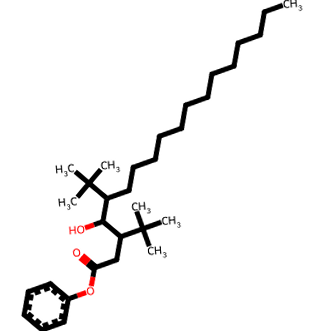 CCCCCCCCCCCCCC(C(O)C(CC(=O)Oc1ccccc1)C(C)(C)C)C(C)(C)C